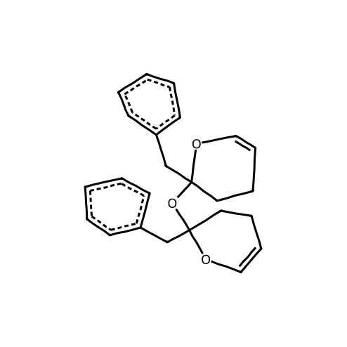 C1=COC(Cc2ccccc2)(OC2(Cc3ccccc3)CCC=CO2)CC1